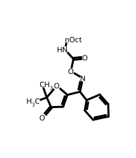 CCCCCCCCNC(=O)O/N=C(\C1=CC(=O)C(C)(C)O1)c1ccccc1